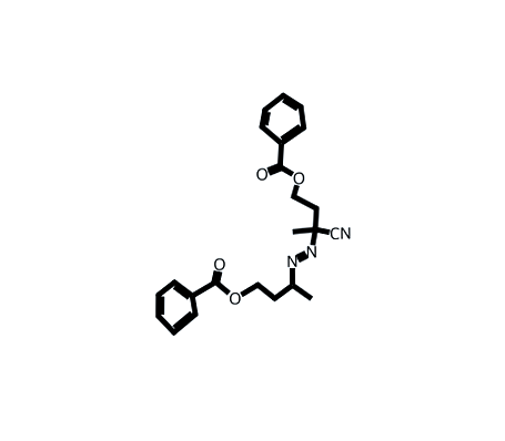 CC(CCOC(=O)c1ccccc1)/N=N/C(C)(C#N)CCOC(=O)c1ccccc1